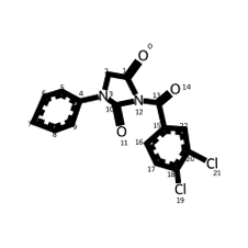 O=C1CN(c2ccccc2)C(=O)N1C(=O)c1ccc(Cl)c(Cl)c1